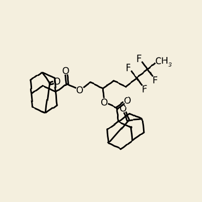 CC(F)(F)C(F)(F)CCC(COC(=O)C12CC3CC(C1)C(=O)C(C3)C2)OC(=O)C12CC3CC(C1)C(=O)C(C3)C2